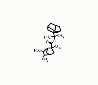 CC1C2CC(C1C)C(C(=O)OC(C)(C)C13CC4CC(CC(C4)C1)C3)(C(F)(F)F)C2